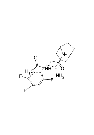 CC(=O)NCC(=O)N1C2CCC1CC([C@H](N)Cc1cc(F)c(F)cc1F)C2